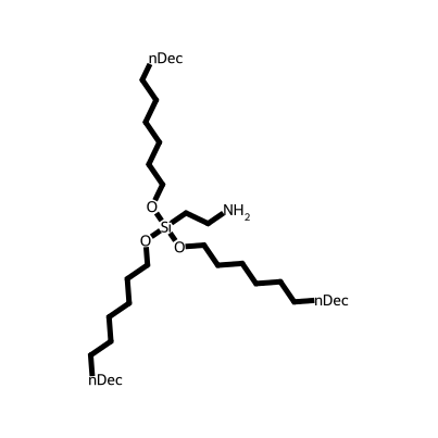 CCCCCCCCCCCCCCCCO[Si](CCN)(OCCCCCCCCCCCCCCCC)OCCCCCCCCCCCCCCCC